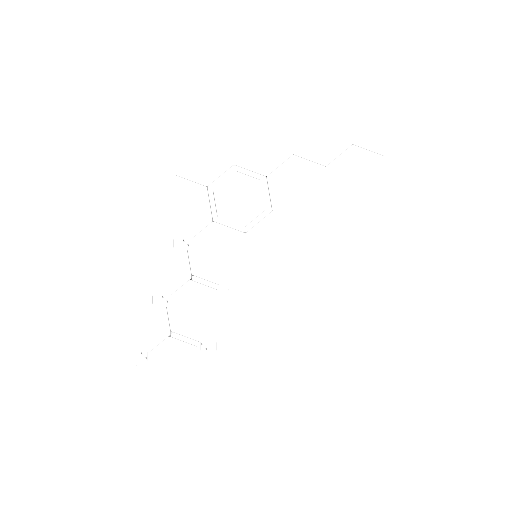 CCCCc1ccc(NC(=O)NC(=N)N)c(C)c1